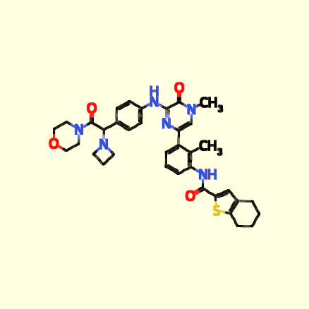 Cc1c(NC(=O)c2cc3c(s2)CCCC3)cccc1-c1cn(C)c(=O)c(Nc2ccc(C(C(=O)N3CCOCC3)N3CCC3)cc2)n1